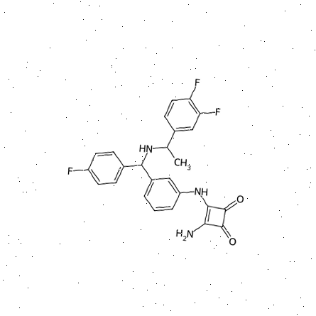 CC(NC(c1ccc(F)cc1)c1cccc(Nc2c(N)c(=O)c2=O)c1)c1ccc(F)c(F)c1